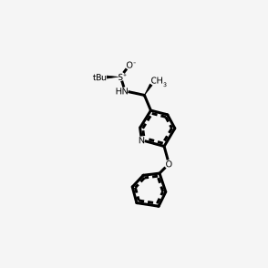 C[C@H](N[S@+]([O-])C(C)(C)C)c1ccc(Oc2ccccc2)nc1